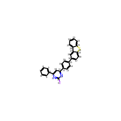 Ic1nc(-c2ccccc2)cc(-c2ccc(-c3ccc4sc5ccccc5c4c3)cc2)n1